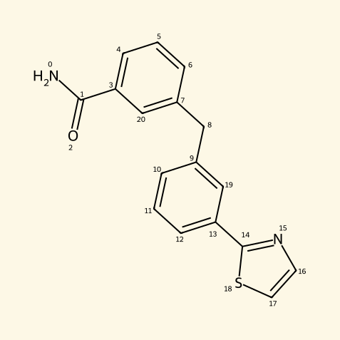 NC(=O)c1cccc(Cc2cccc(-c3nccs3)c2)c1